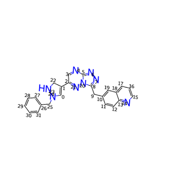 C1=C(c2cnc3nnc(Cc4ccc5ncccc5c4)n3n2)CNN1Cc1ccccc1